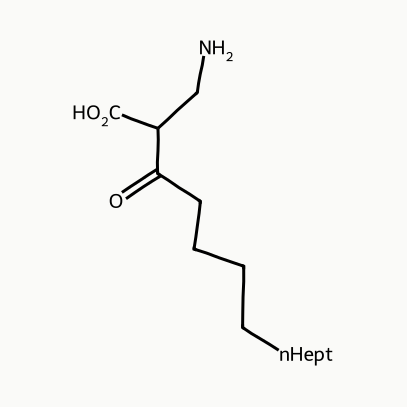 CCCCCCCCCCCC(=O)C(CN)C(=O)O